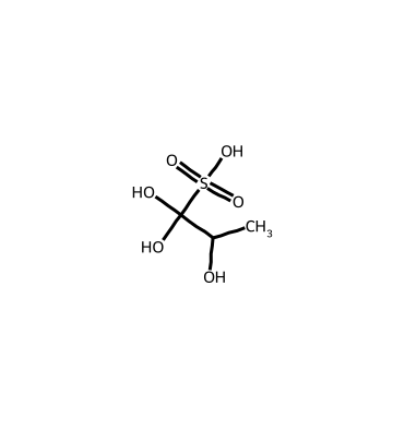 CC(O)C(O)(O)S(=O)(=O)O